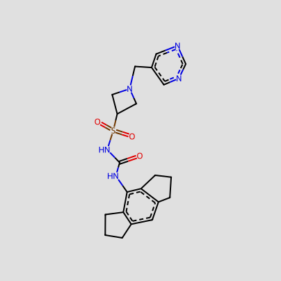 O=C(Nc1c2c(cc3c1CCC3)CCC2)NS(=O)(=O)C1CN(Cc2cncnc2)C1